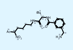 CCC(C)[C@H](NC(=O)c1cccc(CN)c1)C(=O)NCCCCC(C(C)=O)[N+](=O)[O-]